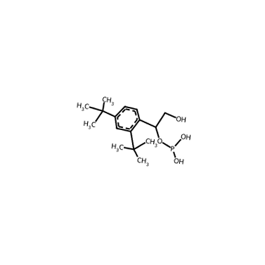 CC(C)(C)c1ccc(C(CO)OP(O)O)c(C(C)(C)C)c1